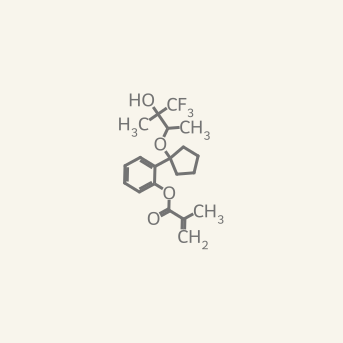 C=C(C)C(=O)Oc1ccccc1C1(OC(C)C(C)(O)C(F)(F)F)CCCC1